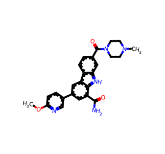 COc1ccc(-c2cc(C(N)=O)c3[nH]c4cc(C(=O)N5CCN(C)CC5)ccc4c3c2)cn1